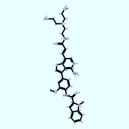 COc1cc(-c2csc3c(/C=C/C(=O)NCCN(CCO)CCO)cnc(N)c23)ccc1NC(=O)c1cc2ccccc2n1C